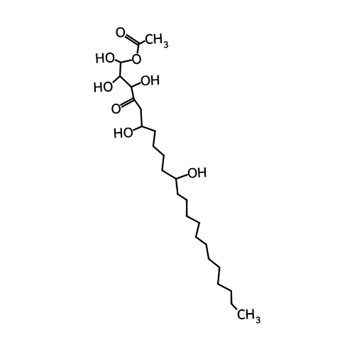 CCCCCCCCCCCCC(O)CCCCC(O)CC(=O)C(O)C(O)C(O)OC(C)=O